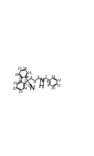 N#CC1(CCCNCc2ccccc2)c2ccccc2-c2ccccc21